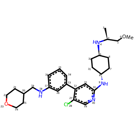 COC[C@H](C)N[C@H]1CC[C@H](Nc2cc(-c3cccc(NCC4CCOCC4)c3)c(Cl)cn2)CC1